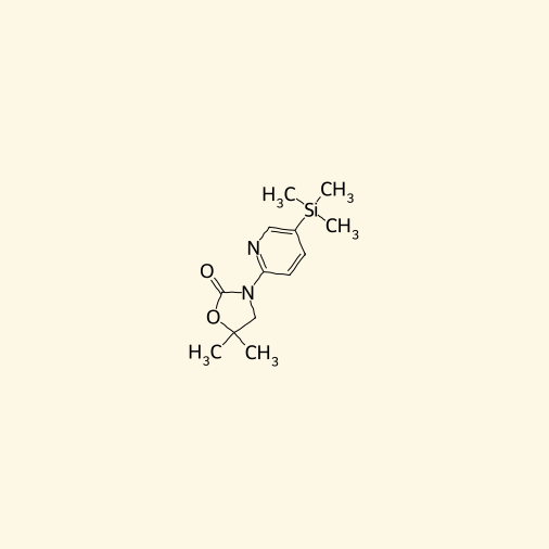 CC1(C)CN(c2ccc([Si](C)(C)C)cn2)C(=O)O1